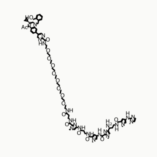 CC(=O)N1c2ccc(-c3cnc(C(=O)NCCOCCOCCOCCOCCOCCOCCOCCOCCNC(=O)CCNC(=O)c4nc(NC(=O)CCNC(=O)c5cc(NC(=O)c6nc(C(N)CCNC(=O)c7cc(Nc8nccn8C)cn7C)cn6C)cn5C)cn4C)nc3)cc2N(Cc2ccccc2CO)C[C@@H]1C1CC1